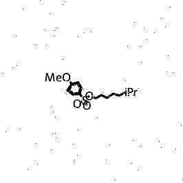 COc1ccc(S(=O)(=O)OCCCCCC(C)C)cc1